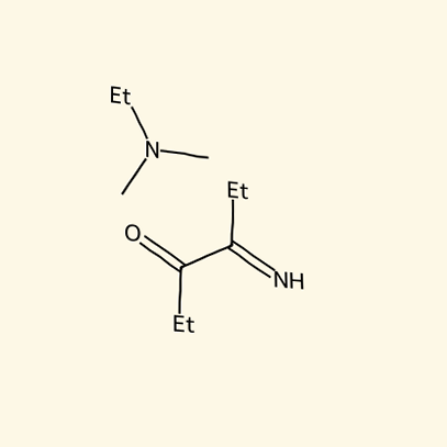 CCC(=N)C(=O)CC.CCN(C)C